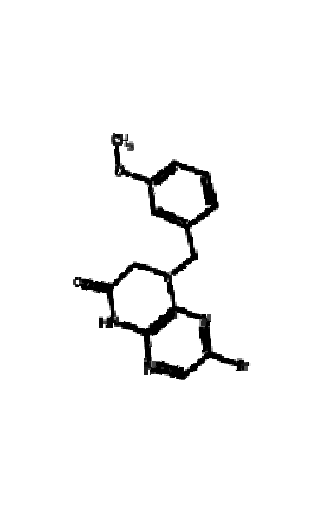 COc1cccc(CN2CC(=O)Nc3ncc(Br)nc32)c1